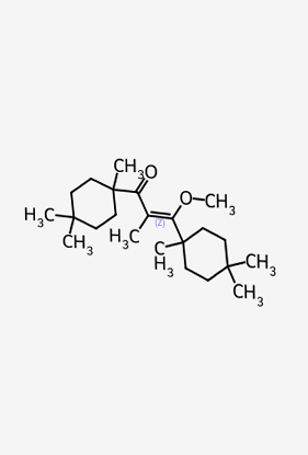 CO/C(=C(/C)C(=O)C1(C)CCC(C)(C)CC1)C1(C)CCC(C)(C)CC1